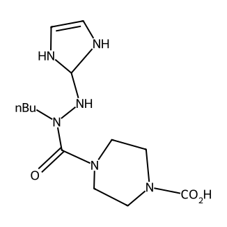 CCCCN(NC1NC=CN1)C(=O)N1CCN(C(=O)O)CC1